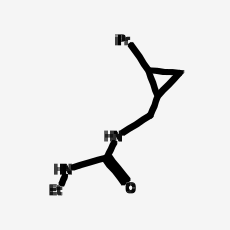 CCNC(=O)NCC1CC1C(C)C